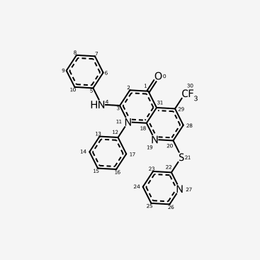 O=c1cc(Nc2ccccc2)n(-c2ccccc2)c2nc(Sc3ccccn3)cc(C(F)(F)F)c12